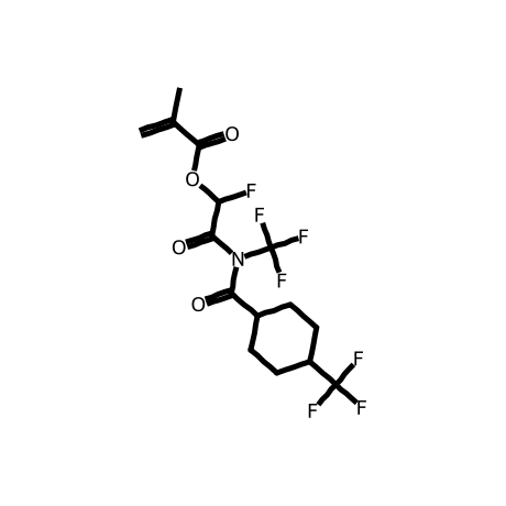 C=C(C)C(=O)OC(F)C(=O)N(C(=O)C1CCC(C(F)(F)F)CC1)C(F)(F)F